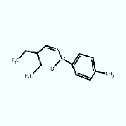 Cc1ccc([S+]([O-])/N=C\C(CC(F)(F)F)CC(F)(F)F)cc1